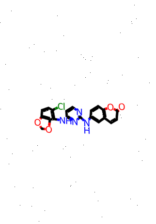 O=c1ccc2cc(Nc3nccc(Nc4c(Cl)ccc5c4OCO5)n3)ccc2o1